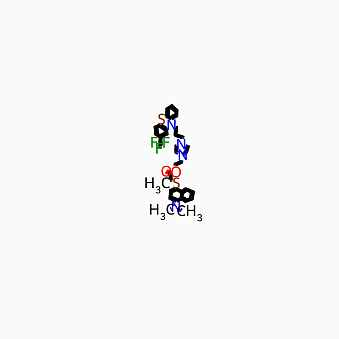 CC(Sc1ccc(N(C)C)c2ccccc12)C(=O)OCCN1CCN(CCCN2c3ccccc3Sc3ccc(C(F)(F)F)cc32)CC1